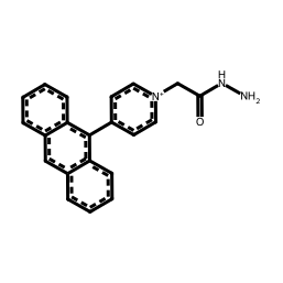 NNC(=O)C[n+]1ccc(-c2c3ccccc3cc3ccccc23)cc1